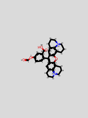 O=COc1ccc(C2=c3cc4c5c(c3Oc3c2cc2c6c3CCCN6CCC2)CCC[N+]=5CCC4)c(C(=O)O)c1